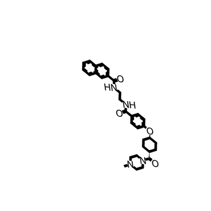 CN1CCN(C(=O)[C@H]2CC[C@@H](Oc3ccc(C(=O)NCCNC(=O)c4ccc5ccccc5c4)cc3)CC2)CC1